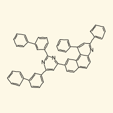 c1ccc(-c2cccc(-c3cc(-c4ccc5ccc6nc(-c7ccccc7)cc(-c7ccccc7)c6c5c4)nc(-c4cccc(-c5ccccc5)c4)n3)c2)cc1